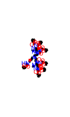 CC(C)(C)OC(=O)NCCCCN(CCn1c(=O)n(C(=O)OC(C)(C)C)c(=O)c2c(N(C(=O)OC(C)(C)C)C(=O)OC(C)(C)C)ncnc21)CCn1c(=O)n(C(=O)OC(C)(C)C)c(=O)c2c(N(C(=O)OC(C)(C)C)C(=O)OC(C)(C)C)ncnc21